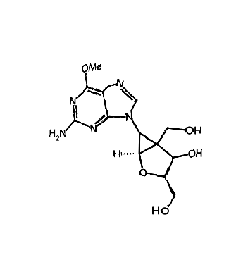 COc1nc(N)nc2c1ncn2C1[C@@H]2O[C@H](CO)C(O)C12CO